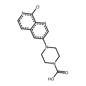 O=C(O)N1CCN(c2cnc3c(Cl)nccc3c2)CC1